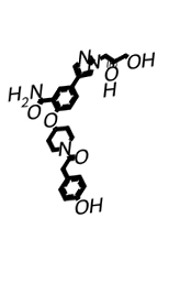 NC(=O)c1cc(-c2cnn(C[C@@H](O)CO)c2)ccc1OC1CCN(C(=O)Cc2ccc(O)cc2)CC1